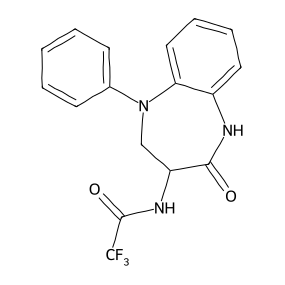 O=C1Nc2ccccc2N(c2ccccc2)CC1NC(=O)C(F)(F)F